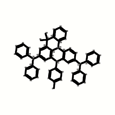 Cc1ccc(N2c3cc(N(c4ccccc4)c4ccccc4)ccc3B3c4ccccc4C(C)(C)c4cc(N(c5ccccc5)c5ccccc5)cc2c43)cc1